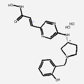 Cl.Cl.O=C(/C=C/c1cnc(N[C@@H]2CCN(Cc3ccccc3O)C2)cn1)NO